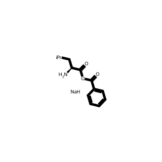 CC(C)C[C@H](N)C(=O)OC(=O)c1ccccc1.[NaH]